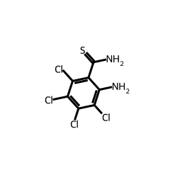 NC(=S)c1c(N)c(Cl)c(Cl)c(Cl)c1Cl